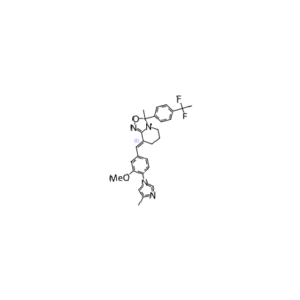 COc1cc(/C=C2\CCCN3C2=NOC3(C)c2ccc(C(C)(F)F)cc2)ccc1-n1cnc(C)c1